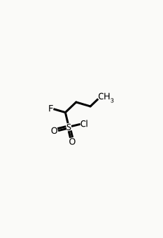 CCCC(F)S(=O)(=O)Cl